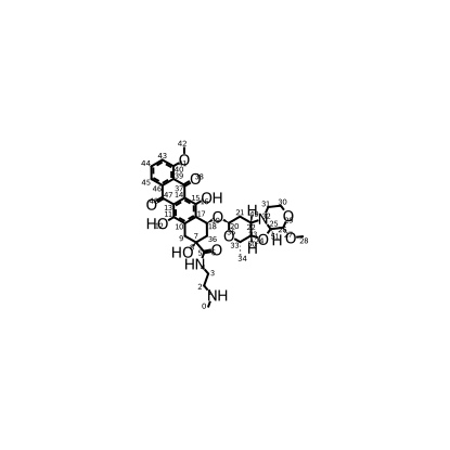 CNCCNC(=O)[C@]1(O)Cc2c(O)c3c(c(O)c2[C@@H](O[C@H]2C[C@H]4[C@H](O[C@@H]5[C@@H](OC)OCCN54)[C@H](C)O2)C1)C(=O)c1c(OC)cccc1C3=O